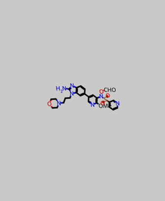 COc1ncc(-c2ccc3nc(N)n(CCCN4CCOCC4)c3c2)cc1N(OC=O)S(=O)(=O)c1cccnc1